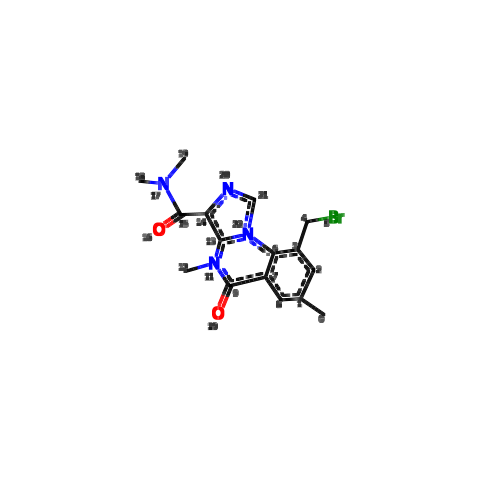 Cc1cc(CBr)c2c(c1)c(=O)n(C)c1c(C(=O)N(C)C)ncn21